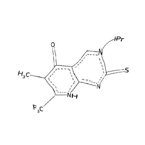 Cc1c(C(F)(F)F)[nH]c2nc(=S)n(C(C)C)cc2c1=O